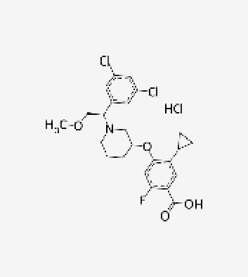 COC[C@@H](c1cc(Cl)cc(Cl)c1)N1CCCC(Oc2cc(F)c(C(=O)O)cc2C2CC2)C1.Cl